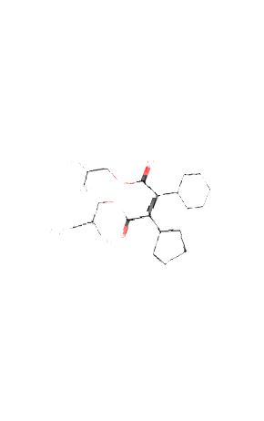 CC(C)COC(=O)/C(=C(\C(=O)OCC(C)C)C1CCCC1)C1CCCCC1